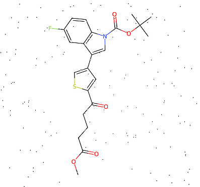 COC(=O)CCCC(=O)c1cc(-c2cn(C(=O)OC(C)(C)C)c3ccc(F)cc23)cs1